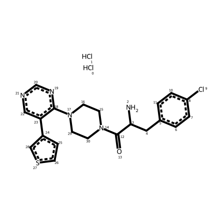 Cl.Cl.NC(Cc1ccc(Cl)cc1)C(=O)N1CCN(c2ncncc2-c2ccsc2)CC1